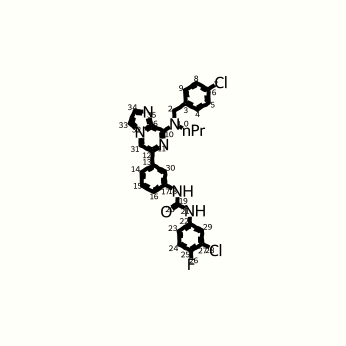 CCCN(Cc1ccc(Cl)cc1)c1nc(-c2cccc(NC(=O)Nc3ccc(F)c(Cl)c3)c2)cn2ccnc12